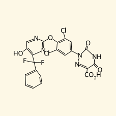 O=C(O)c1nn(-c2cc(Cl)c(Oc3ncc(O)c(C(F)(F)c4ccccc4)n3)c(Cl)c2)c(=O)[nH]c1=O